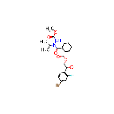 COC(=O)NN(C(=O)[C@H]1CCCC[C@@H]1C(=O)OCC(=O)c1ccc(Br)cc1F)C(C)C